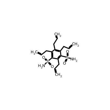 C=CCc1c(CC=C)c(S(N)(=O)=O)c(CC=C)c(S(N)(=O)=O)c1CC=C